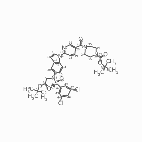 CC(C)(C)OC(=O)CN(c1ccc2c(ccn2-c2ccc(C(=O)N3CCN(C(=O)OC(C)(C)C)CC3)cn2)c1)S(=O)(=O)c1cc(Cl)cc(Cl)c1